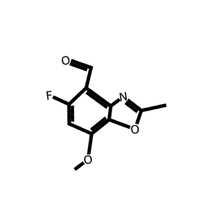 COc1cc(F)c(C=O)c2nc(C)oc12